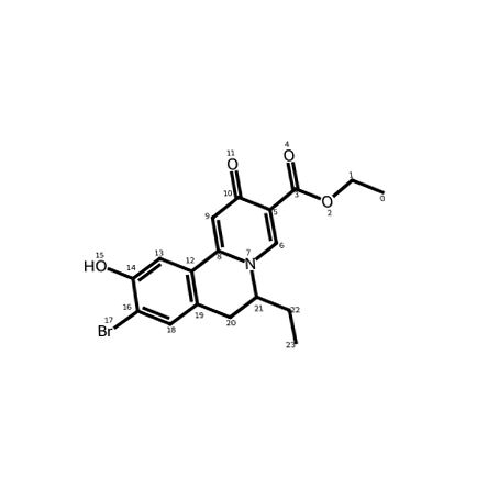 CCOC(=O)c1cn2c(cc1=O)-c1cc(O)c(Br)cc1CC2CC